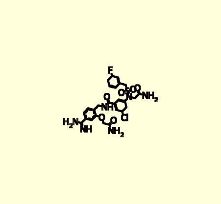 N=C(N)c1ccc(CNC(=O)C2=CC(Cl)CC(N(CC(N)=O)S(=O)(=O)CC3=CC(F)CC=C3)=C2)c(OCC(N)=O)c1